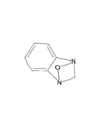 c1ccc2c(c1)N1CN2O1